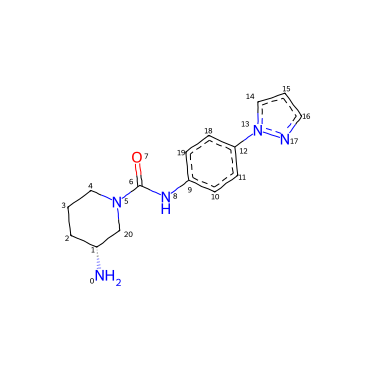 N[C@@H]1CCCN(C(=O)Nc2ccc(-n3cccn3)cc2)C1